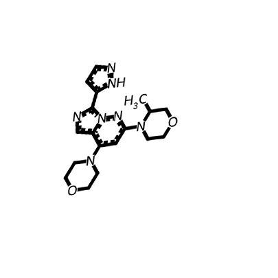 CC1COCCN1c1cc(N2CCOCC2)c2cnc(-c3ccn[nH]3)n2n1